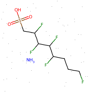 N.O=S(=O)(O)CC(F)C(F)C(F)C(F)CCCF